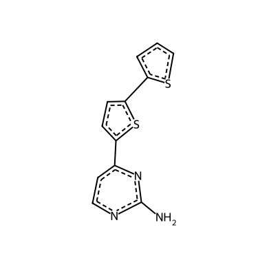 Nc1nccc(-c2ccc(-c3cccs3)s2)n1